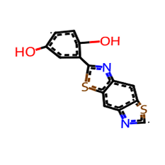 Oc1[c]cc(O)c(-c2nc3cc4s[c]nc4cc3s2)c1